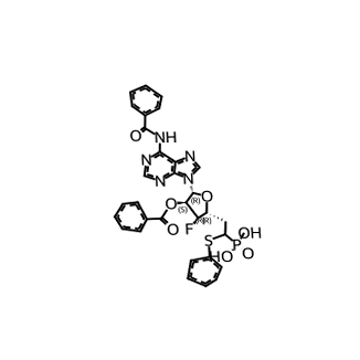 O=C(Nc1ncnc2c1ncn2[C@@H]1O[C@H](CC(Sc2ccccc2)P(=O)(O)O)[C@@H](F)[C@H]1OC(=O)c1ccccc1)c1ccccc1